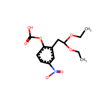 CCOC(Cc1cc([N+](=O)[O-])ccc1OC(=O)O)OCC